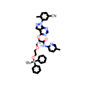 Cc1ccc(NC(=O)[C@H](COCCO[Si](c2ccccc2)(c2ccccc2)C(C)(C)C)Oc2ncnc3c2cnn3-c2cc(C#N)ccc2C)nc1